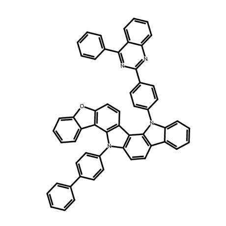 c1ccc(-c2ccc(-n3c4ccc5c6ccccc6n(-c6ccc(-c7nc(-c8ccccc8)c8ccccc8n7)cc6)c5c4c4ccc5oc6ccccc6c5c43)cc2)cc1